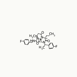 CCC[C@H]1C(=O)N(C(C)c2ccc(F)cc2)C[C@H]2N1C(=O)CN(C)N2C(=O)NCc1ccc(F)cc1